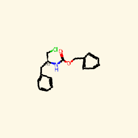 O=C(N[C@H](CCl)Cc1ccccc1)OCc1ccccc1